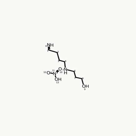 N=CCCCNCCCO.O=[N+]([O-])O